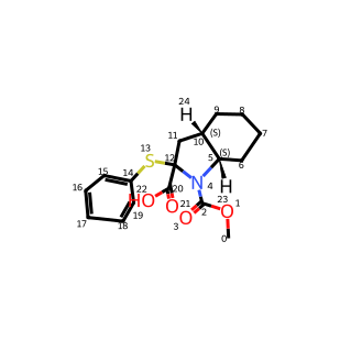 COC(=O)N1[C@H]2CCCC[C@H]2CC1(Sc1ccccc1)C(=O)O